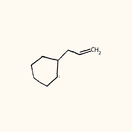 C=CCC1[C]CCCC1